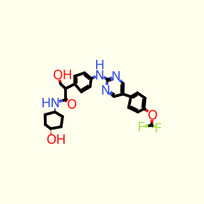 O=C(N[C@H]1CC[C@@H](O)CC1)C(CO)c1ccc(Nc2ncc(-c3ccc(OC(F)F)cc3)cn2)cc1